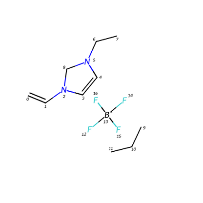 C=CN1C=CN(CC)C1.CCC.F[B-](F)(F)F